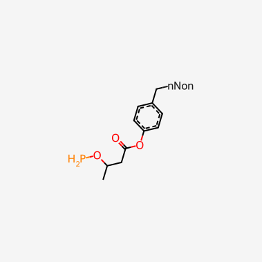 CCCCCCCCCCc1ccc(OC(=O)CC(C)OP)cc1